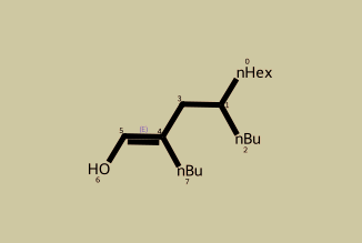 CCCCCCC(CCCC)C/C(=C/O)CCCC